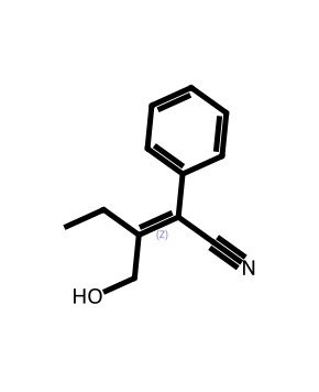 CC/C(CO)=C(/C#N)c1ccccc1